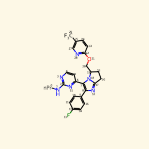 CCCNc1nccc(-c2c(-c3ccc(F)cc3)nc3n2C(COc2ccc(C(F)(F)F)cn2)CC3)n1